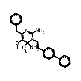 COC1=C(Cc2ccccc2)N=C(N)N(C=Cc2ccc(-c3ccccc3)cc2)C1(N)OC